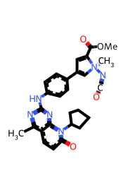 COC(=O)C1=CC(c2ccc(Nc3nc(C)c4ccc(=O)n(C5CCCC5)c4n3)cc2)=C[N+]1(C)N=C=O